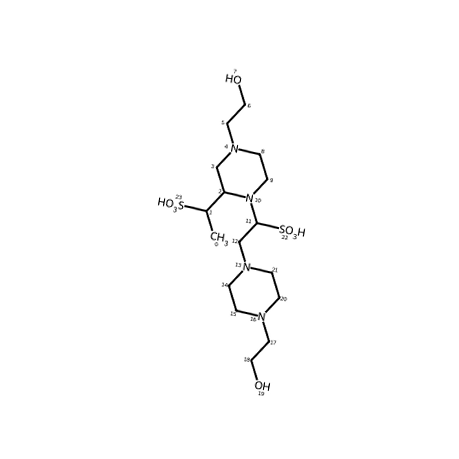 CC(C1CN(CCO)CCN1C(CN1CCN(CCO)CC1)S(=O)(=O)O)S(=O)(=O)O